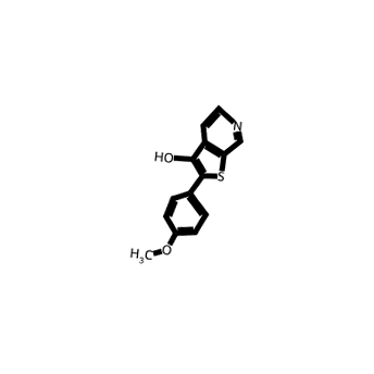 COc1ccc(-c2sc3cnccc3c2O)cc1